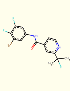 CC(C)(F)c1cc(C(=O)Nc2cc(F)c(F)c(Br)c2)ccn1